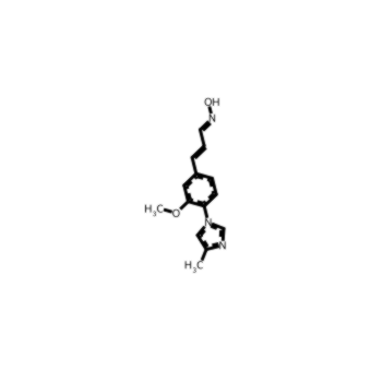 COc1cc(/C=C/C=N/O)ccc1-n1cnc(C)c1